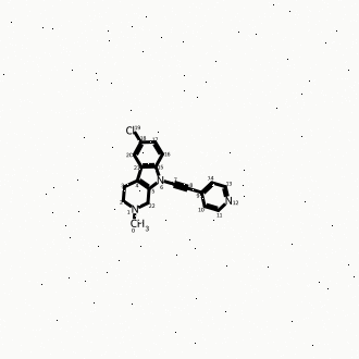 CN1CCc2c(n(C#Cc3ccncc3)c3ccc(Cl)cc23)C1